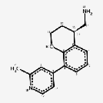 Cc1cc(-c2cccc3c2OCC[C@H]3CN)ccn1